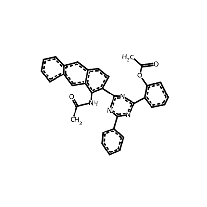 CC(=O)Nc1c(-c2nc(-c3ccccc3)nc(-c3ccccc3OC(C)=O)n2)ccc2cc3ccccc3cc12